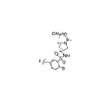 COC[C@H]1C[C@@H](NS(=O)(=O)c2cc(C(F)(F)F)ccc2Br)CN1B(C)O